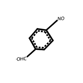 O=[C]c1ccc(N=O)cc1